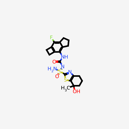 CC1(O)CCCc2nc(S(N)(=O)=NC(=O)Nc3c4c(c(F)c5c3CC5)CCC4)sc21